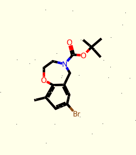 Cc1cc(Br)cc2c1OCCN(C(=O)OC(C)(C)C)C2